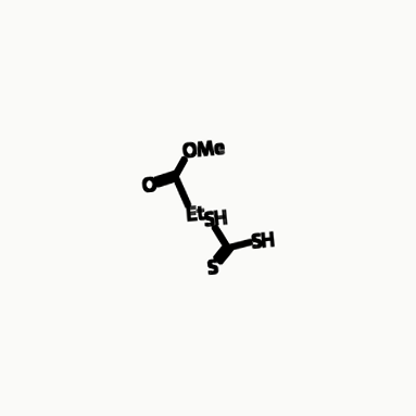 CCC(=O)OC.S=C(S)S